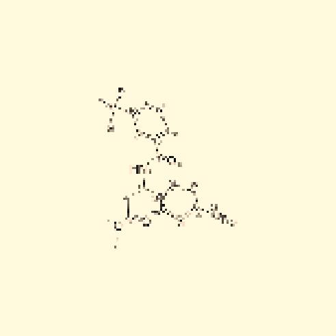 COC(=O)C[C@H](NC(=O)c1cccc(C(C)(C)C)c1)c1ccc(C#N)cc1